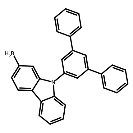 Bc1ccc2c3ccccc3n(-c3cc(-c4ccccc4)cc(-c4ccccc4)c3)c2c1